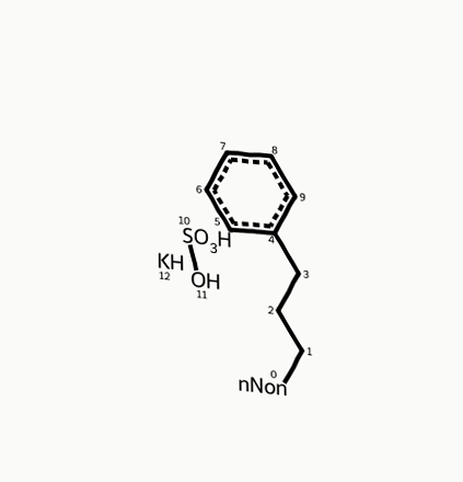 CCCCCCCCCCCCc1ccccc1.O=S(=O)(O)O.[KH]